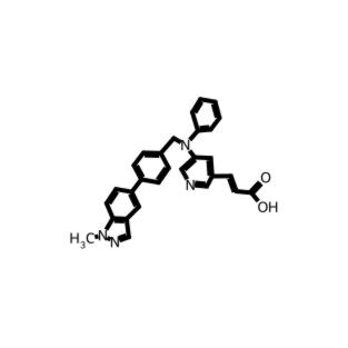 Cn1ncc2cc(-c3ccc(CN(c4ccccc4)c4cncc(/C=C/C(=O)O)c4)cc3)ccc21